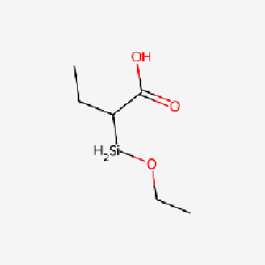 CCO[SiH2]C(CC)C(=O)O